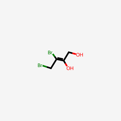 OCC(O)=C(Br)CBr